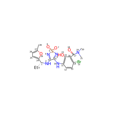 CC[C@@H](NC1=NS(=O)(=O)N=C1Nc1ccc(Br)c(C(=O)N(C)C)c1O)c1ccc(C)o1